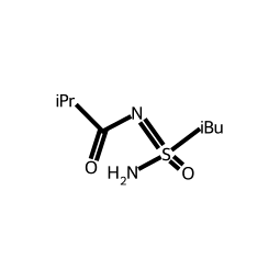 CCC(C)S(N)(=O)=NC(=O)C(C)C